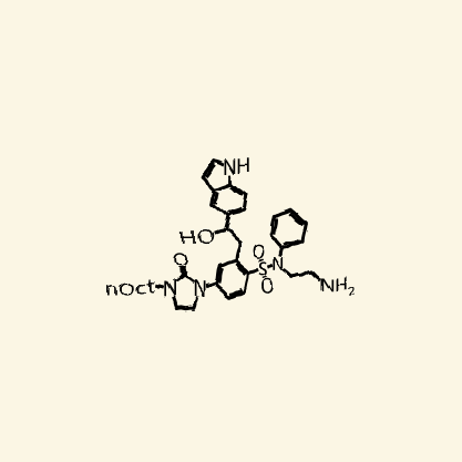 CCCCCCCCN1CCN(c2ccc(S(=O)(=O)N(CCN)c3ccccc3)c(CC(O)c3ccc4[nH]ccc4c3)c2)C1=O